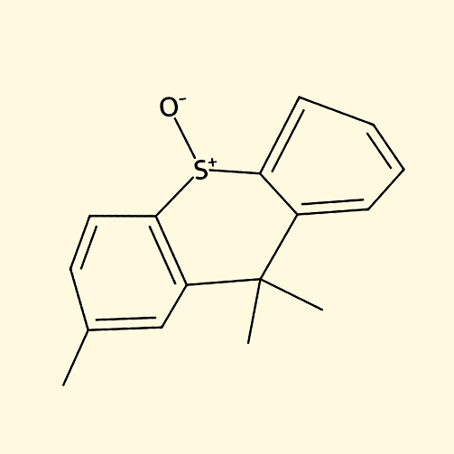 Cc1ccc2c(c1)C(C)(C)c1ccccc1[S+]2[O-]